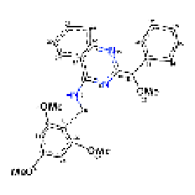 COc1cc(OC)c(CNc2nc(C(OC)c3ccccc3)nc3ccccc23)c(OC)c1